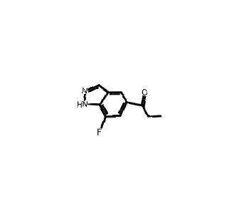 CCC(=O)c1cc(F)c2[nH]ncc2c1